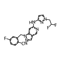 N#Cc1ccc(F)cc1Cn1ncc2cnc(Nc3ccn(CC(F)F)n3)cc21